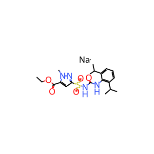 CCOC(=O)c1cc(S(=O)(=O)NC(=O)Nc2c(C(C)C)cccc2C(C)C)nn1C.[Na]